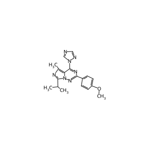 COc1ccc(-c2nc(-n3cncn3)c3c(C)nc(C(C)C)n3n2)cc1